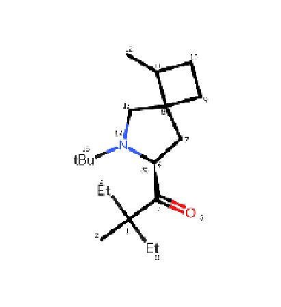 CCC(C)(CC)C(=O)[C@@H]1CC2(CCC2C)CN1C(C)(C)C